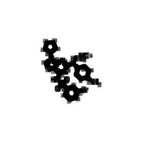 Cl.Cl.NC1CCC(Nc2nc(NS(=O)(=O)c3cccc(Br)c3)c3ncn(C4CCCC4)c3n2)CC1